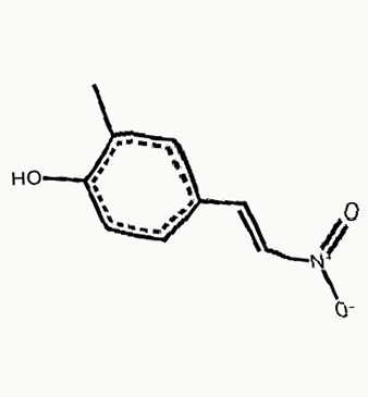 Cc1cc(/C=C/[N+](=O)[O-])ccc1O